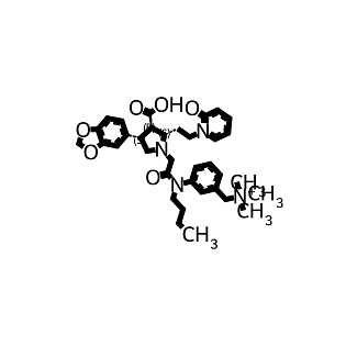 CCCCN(C(=O)CN1C[C@H](c2ccc3c(c2)OCO3)[C@@H](C(=O)O)[C@@H]1CCn1ccccc1=O)c1cccc(C[N+](C)(C)C)c1